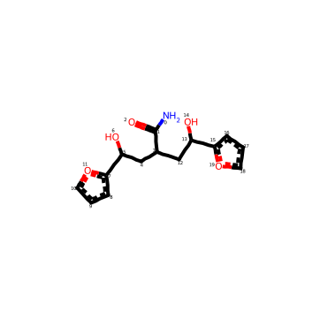 NC(=O)C(CC(O)c1ccco1)CC(O)c1ccco1